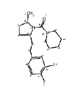 C[C@@H]1CC[C@H](CCc2ccc(F)c(F)c2)N1C(=O)N1CCCCC1